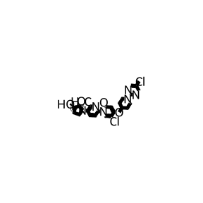 Cc1nc(-n2cc(Cl)c(OC3CCN(c4ncc(Cl)cn4)CC3)cc2=O)ccc1N1CC[C@@H](O)C1=O